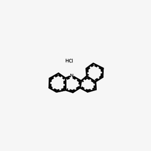 Cl.c1ccc2nc3c(ccc4ccccc43)cc2c1